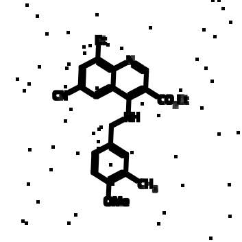 [C-]#[N+]c1cc(CC)c2ncc(C(=O)OCC)c(NCc3ccc(OC)c(C)c3)c2c1